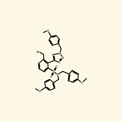 COc1ccc(CN(Cc2ccc(OC)cc2)S(=O)(=O)c2cccc(CBr)c2-c2nnn(Cc3ccc(OC)cc3)n2)cc1